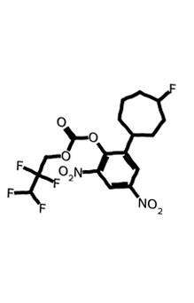 O=C(OCC(F)(F)C(F)F)Oc1c(C2CCCC(F)CC2)cc([N+](=O)[O-])cc1[N+](=O)[O-]